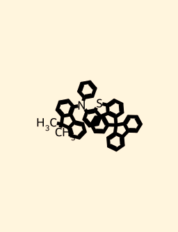 CC1(C)c2ccccc2-c2c(N(c3ccccc3)c3cccc4c3sc3cccc(C5(c6ccccc6)c6ccccc6-c6ccccc65)c34)cccc21